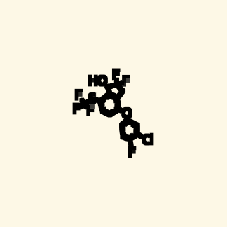 OC1c2c(SC(F)(F)F)ccc(Oc3ccc(F)c(Cl)c3)c2CC1(F)F